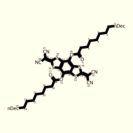 CCCCCCCCCCCCCCCCCC(=O)Oc1c2c(c(OC(=O)CCCCCCCCCCCCCCCCC)c3c1SC(=C(C#N)C#N)S3)SC(=C(C#N)C#N)S2